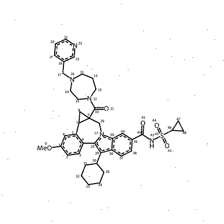 COc1ccc2c(c1)C1CC1(C(=O)N1CCCN(Cc3cccnc3)CC1)Cn1c-2c(C2CCCCC2)c2ccc(C(=O)NS(=O)(=O)C3CC3)cc21